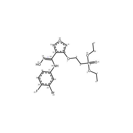 CCOP(=O)(CCOc1nonc1/C(=N/O)Nc1ccc(F)c(Br)c1)OCC